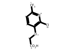 O=C(O)COc1ccc(C(F)(F)F)nc1Cl